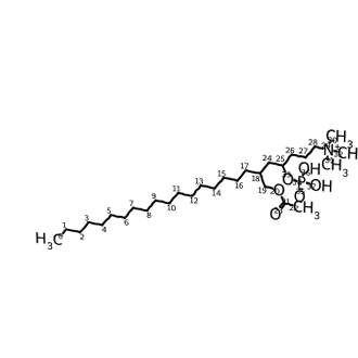 CCCCCCCCCCCCCCCCCCC(COC(C)=O)CC(CCC[N+](C)(C)C)OP(=O)(O)O